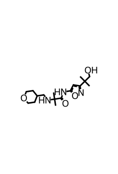 CC(C)(NCC1CCOCC1)C(=O)Nc1cc(C(C)(C)CO)no1